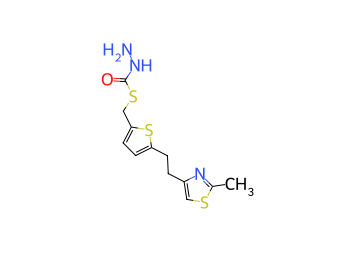 Cc1nc(CCc2ccc(CSC(=O)NN)s2)cs1